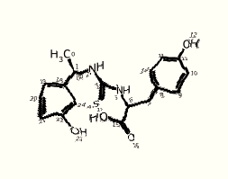 C[C@@H](NC(=S)NC(Cc1ccc(O)cc1)C(=O)O)c1cccc(O)c1